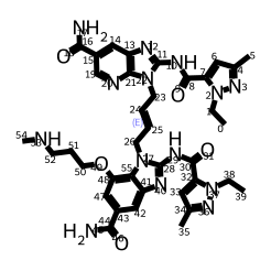 CCn1nc(C)cc1C(=O)Nc1nc2cc(C(N)=O)cnc2n1C/C=C/Cn1c(NC(=O)c2cc(C)nn2CC)nc2cc(C(N)=O)cc(OCCCNC)c21